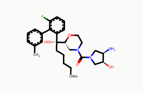 COCCCC[C@@](O)(c1cccc(F)c1-c1cccc(C)c1)[C@H]1CN(C(=O)N2C[C@@H](N)[C@@H](O)C2)CCO1